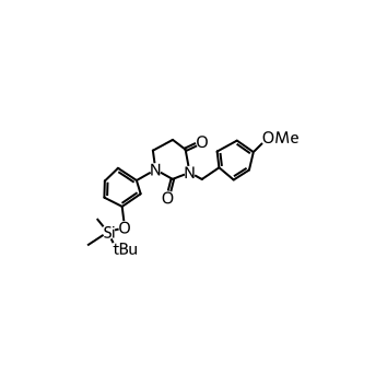 COc1ccc(CN2C(=O)CCN(c3cccc(O[Si](C)(C)C(C)(C)C)c3)C2=O)cc1